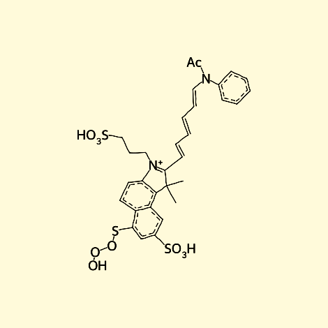 CC(=O)N(/C=C/C=C/C=C/C1=[N+](CCCS(=O)(=O)O)c2ccc3c(SOOO)cc(S(=O)(=O)O)cc3c2C1(C)C)c1ccccc1